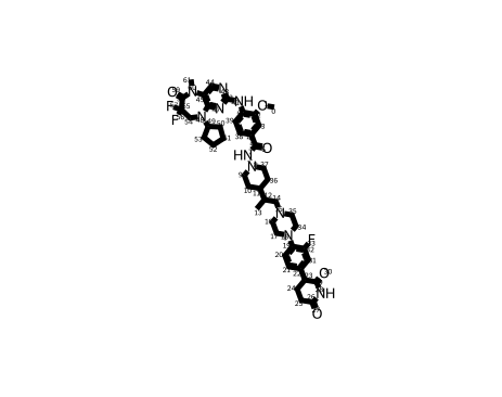 COc1cc(C(=O)NN2CCC(C(C)CN3CCN(c4ccc(C5CCC(=O)NC5=O)cc4F)CC3)CC2)ccc1Nc1ncc2c(n1)N(C1CCCC1)CC(F)(F)C(=O)N2C